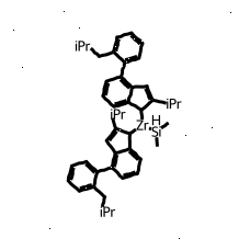 CC(C)Cc1ccccc1-c1cccc2c1C=C(C(C)C)[CH]2[Zr]([CH]1C(C(C)C)=Cc2c(-c3ccccc3CC(C)C)cccc21)[SiH](C)C